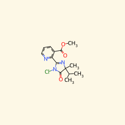 COC(=O)c1cccnc1C1=NC(C)(C(C)C)C(=O)N1Cl